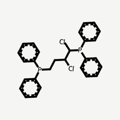 ClC(CCP(c1ccccc1)c1ccccc1)C(Cl)P(c1ccccc1)c1ccccc1